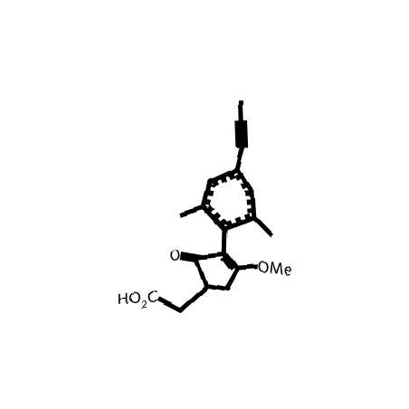 CC#Cc1cc(C)c(C2=C(OC)CC(CC(=O)O)C2=O)c(C)c1